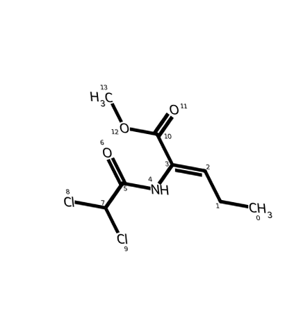 CCC=C(NC(=O)C(Cl)Cl)C(=O)OC